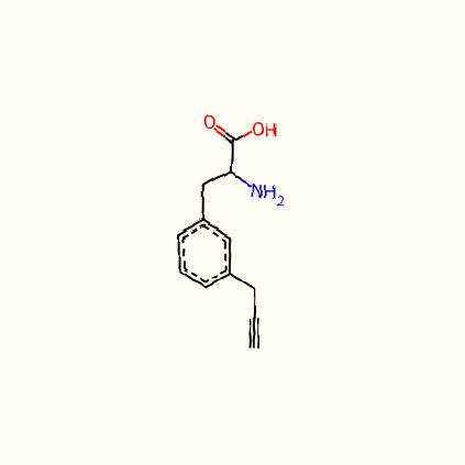 C#CCc1cccc(CC(N)C(=O)O)c1